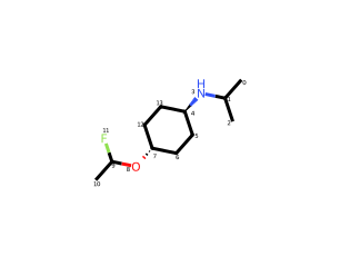 CC(C)N[C@H]1CC[C@H](OC(C)F)CC1